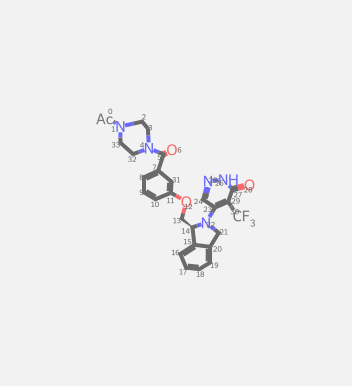 CC(=O)N1CCN(C(=O)c2cccc(OC[C@@H]3c4ccccc4CN3c3cn[nH]c(=O)c3C(F)(F)F)c2)CC1